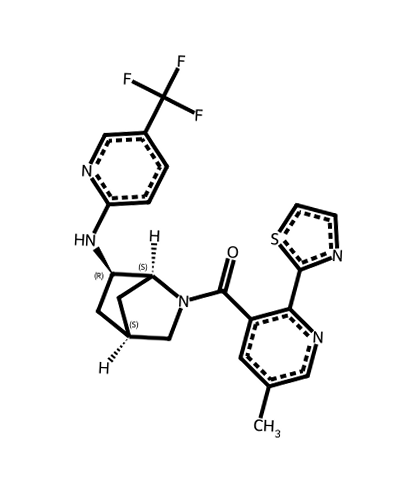 Cc1cnc(-c2nccs2)c(C(=O)N2C[C@H]3C[C@@H](Nc4ccc(C(F)(F)F)cn4)[C@@H]2C3)c1